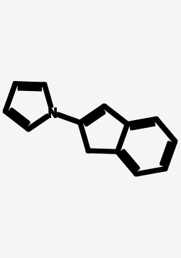 C1=C(n2cccc2)Cc2ccccc21